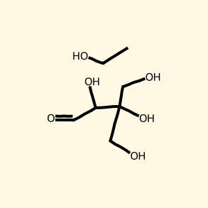 CCO.O=CC(O)C(O)(CO)CO